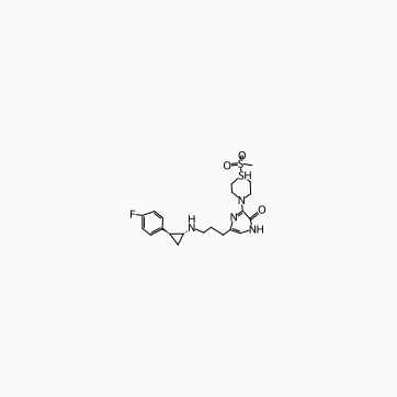 CS(=O)(=O)[SH]1CCN(c2nc(CCCN[C@@H]3C[C@H]3c3ccc(F)cc3)c[nH]c2=O)CC1